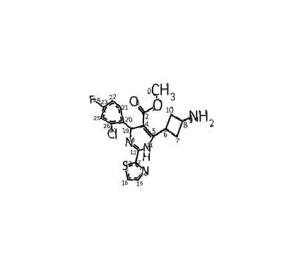 COC(=O)C1=C(C2CC(N)C2)NC(c2nccs2)=NC1c1ccc(F)cc1Cl